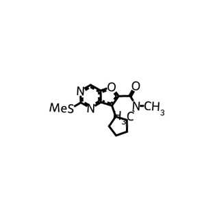 CSc1ncc2oc(C(=O)N(C)C)c(C3CCCC3)c2n1